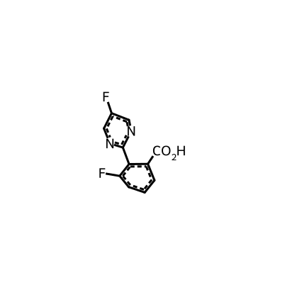 O=C(O)c1cccc(F)c1-c1ncc(F)cn1